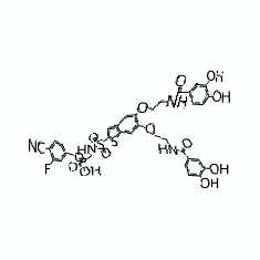 N#Cc1ccc(OP(=O)(O)CNS(=O)(=O)c2cc3cc(OCCNC(=O)c4ccc(O)c(O)c4)c(OCCNC(=O)c4ccc(O)c(O)c4)cc3s2)cc1F